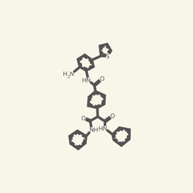 Nc1ccc(-c2cccs2)cc1NC(=O)c1ccc(C(C(=O)Nc2ccccc2)C(=O)Nc2ccccc2)cc1